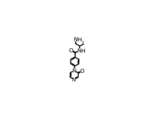 CC(CN)NC(=O)c1ccc(-n2ccncc2=O)cc1